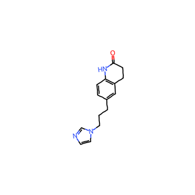 O=C1CCc2cc(CCCn3ccnc3)ccc2N1